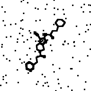 N#Cc1c(NC(=O)CCC2CCCCC2)sc2c1CCN(C(=O)CCc1cccnc1)C2